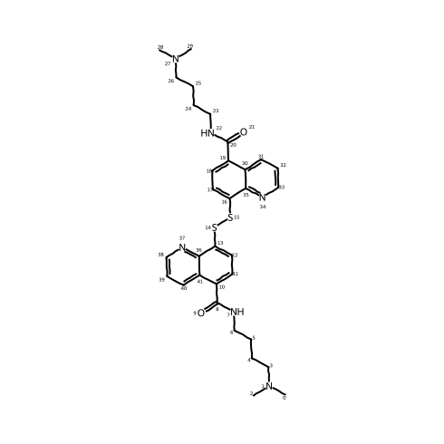 CN(C)CCCCNC(=O)c1ccc(SSc2ccc(C(=O)NCCCCN(C)C)c3cccnc23)c2ncccc12